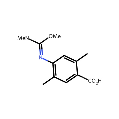 CN/C(=N/c1cc(C)c(C(=O)O)cc1C)OC